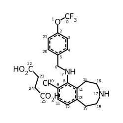 FC(F)(F)Oc1ccc(CNc2c(Cl)ccc3c2CCNCC3)cc1.O=C(O)CCC(=O)O